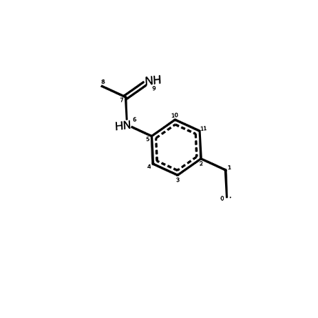 [CH2]Cc1ccc(NC(C)=N)cc1